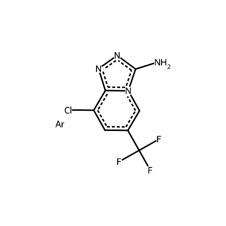 Nc1nnc2c(Cl)cc(C(F)(F)F)cn12.[Ar]